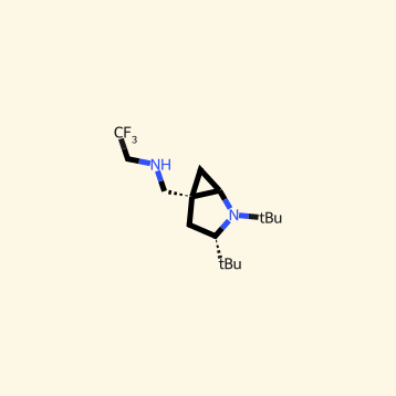 CC(C)(C)[C@@H]1C[C@@]2(CNCC(F)(F)F)CC2N1C(C)(C)C